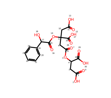 O=C(O)CC(OC(=O)CC(CC(=O)O)(OC(=O)C(O)c1ccccc1)C(=O)O)C(=O)O